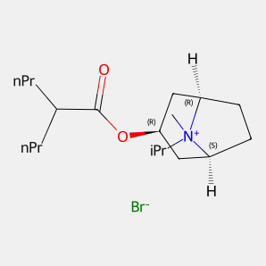 CCCC(CCC)C(=O)O[C@H]1C[C@H]2CC[C@@H](C1)[N+]2(C)C(C)C.[Br-]